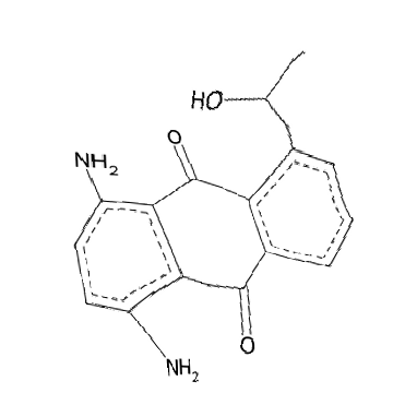 CC(O)c1cccc2c1C(=O)c1c(N)ccc(N)c1C2=O